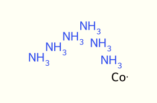 N.N.N.N.N.N.[Co]